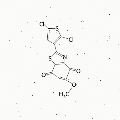 COC1=CC(=O)c2sc(-c3cc(Cl)sc3Cl)nc2C1=O